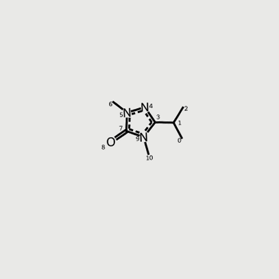 CC(C)c1nn(C)c(=O)n1C